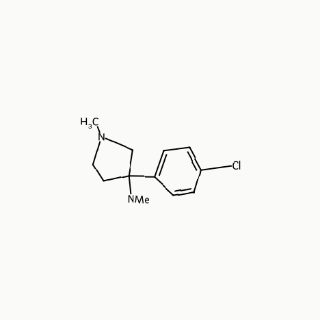 CNC1(c2ccc(Cl)cc2)CCN(C)C1